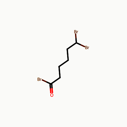 O=C(Br)CCCCC(Br)Br